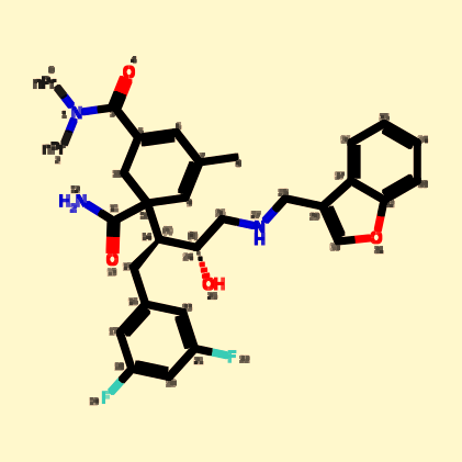 CCCN(CCC)C(=O)C1=CC(C)=CC(C(N)=O)([C@H](Cc2cc(F)cc(F)c2)[C@@H](O)CNCc2coc3ccccc23)C1